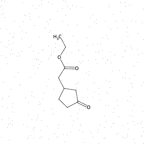 CCOC(=O)CC1CCC(=O)C1